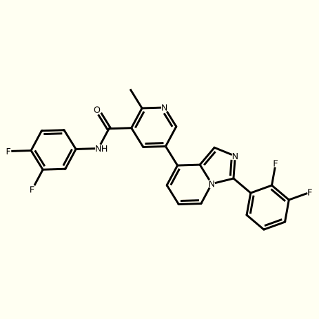 Cc1ncc(-c2cccn3c(-c4cccc(F)c4F)ncc23)cc1C(=O)Nc1ccc(F)c(F)c1